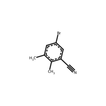 Cc1cc(Br)cc(C#N)c1C